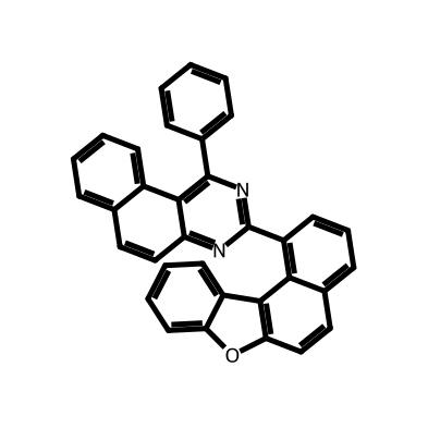 c1ccc(-c2nc(-c3cccc4ccc5oc6ccccc6c5c34)nc3ccc4ccccc4c23)cc1